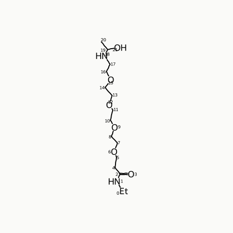 CCNC(=O)CCOCCOCCOCCOCCNC(C)O